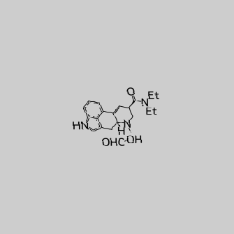 CCN(CC)C(=O)[C@@H]1C=C2c3cccc4[nH]cc(c34)C[C@H]2N(C)C1.O=CO